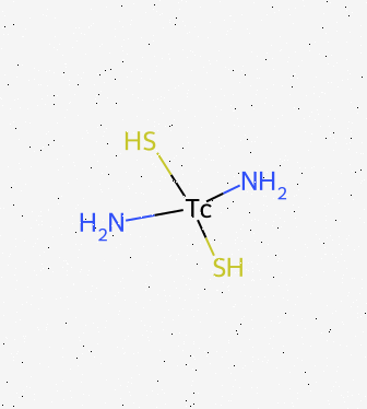 [NH2][Tc]([NH2])([SH])[SH]